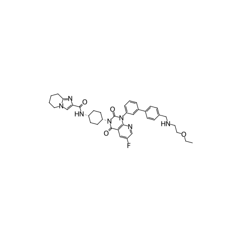 CCOCCNCc1ccc(-c2cccc(-n3c(=O)n([C@H]4CC[C@@H](NC(=O)c5cn6c(n5)CCCC6)CC4)c(=O)c4cc(F)cnc43)c2)cc1